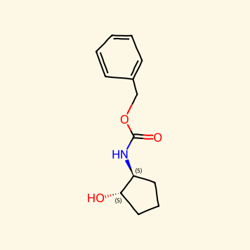 O=C(N[C@H]1CCC[C@@H]1O)OCc1ccccc1